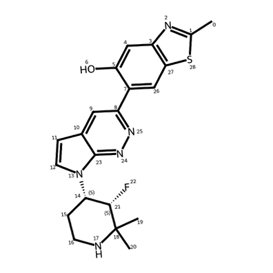 Cc1nc2cc(O)c(-c3cc4ccn([C@H]5CCNC(C)(C)[C@H]5F)c4nn3)cc2s1